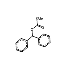 CSC(=S)OC(c1ccccc1)c1ccccc1